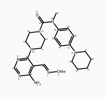 CO/N=C/c1c(N)ncnc1N1CCN(C(=O)N(C)c2ccc(N3CCCCC3)cc2)CC1